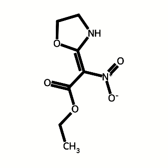 CCOC(=O)/C(=C1/NCCO1)[N+](=O)[O-]